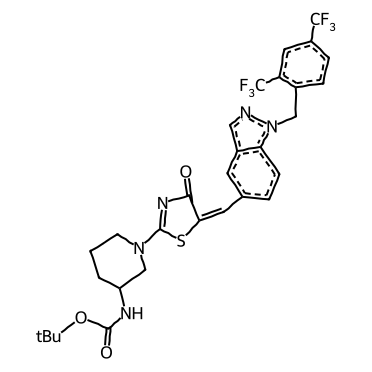 CC(C)(C)OC(=O)NC1CCCN(C2=NC(=O)C(=Cc3ccc4c(cnn4Cc4ccc(C(F)(F)F)cc4C(F)(F)F)c3)S2)C1